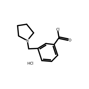 Cl.O=C(Cl)c1cccc(CN2CCCC2)c1